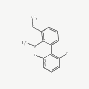 Fc1cccc(F)c1-c1cc[c]c(SC(F)(F)F)c1SC(F)(F)F